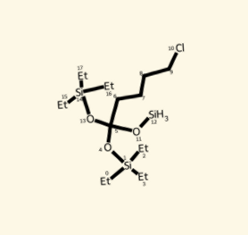 CC[Si](CC)(CC)OC(CCCCCl)(O[SiH3])O[Si](CC)(CC)CC